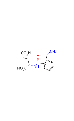 NCc1ccccc1C(=O)NC(CCC(=O)O)C(=O)O